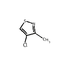 Cc1ns[c]c1Cl